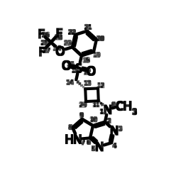 CN(c1ncnc2[nH]ccc12)[C@H]1C[C@@H](CS(=O)(=O)c2ccccc2OC(F)(F)F)C1